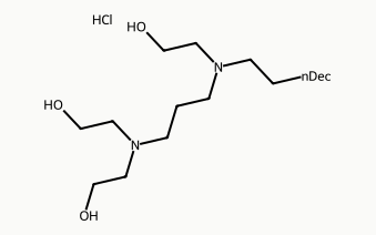 CCCCCCCCCCCCN(CCO)CCCN(CCO)CCO.Cl